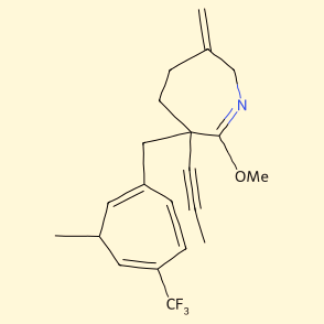 C=C1CCC(C#CC)(CC2=CC(C)C=C(C(F)(F)F)C=C2)C(OC)=NC1